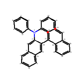 c1ccc(N(c2ccccc2)c2cc3ccccc3cc2-c2cccc3ccccc23)cc1